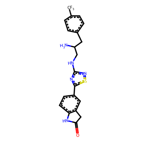 NC(CNc1nsc(-c2ccc3c(c2)CC(=O)N3)n1)Cc1ccc(C(F)(F)F)cc1